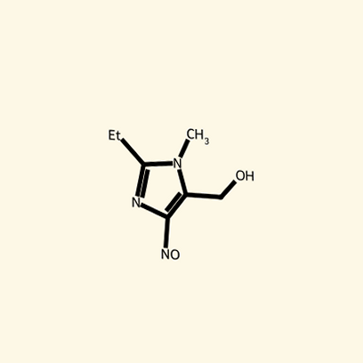 CCc1nc(N=O)c(CO)n1C